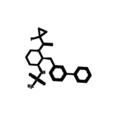 CS(=O)(=O)N[C@H]1CCCN(C(=O)C2(F)CC2)[C@H]1Cc1cccc(-c2ccccc2)c1